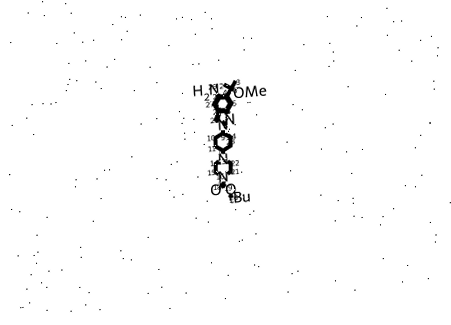 COC(C)(C)c1cc2nn(C3CCC(N4CCN(C(=O)OC(C)(C)C)CC4)CC3)cc2cc1N